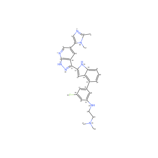 Cc1ncc(-c2cnc3[nH]nc(-c4cc5c(-c6cc(F)cc(NCCN(C)C)c6)cccc5[nH]4)c3c2)n1C